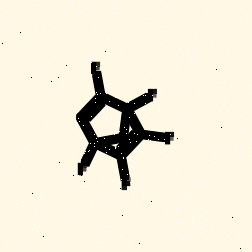 FC1=CC2(F)CC1(F)C(F)=C2F